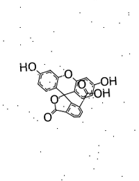 O=C(O)c1cccc2c1C1(OC2=O)c2ccc(O)cc2Oc2cc(O)ccc21